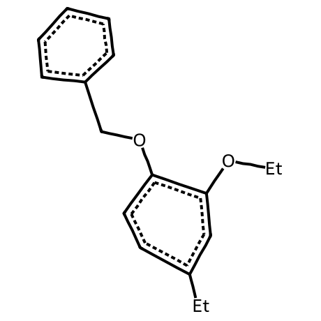 CCOc1cc(CC)ccc1OCc1ccccc1